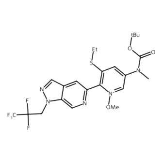 CCSc1cc(N(C)C(=O)OC(C)(C)C)c[n+](OC)c1-c1cc2cnn(CC(F)(F)C(F)(F)F)c2cn1